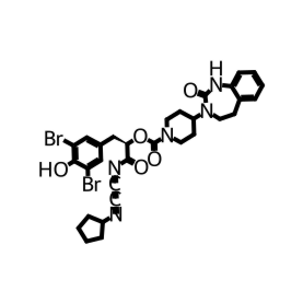 O=C(N=C=C=NC1CCCC1)[C@@H](Cc1cc(Br)c(O)c(Br)c1)OC(=O)N1CCC(N2CCc3ccccc3NC2=O)CC1